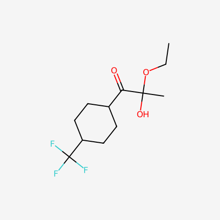 CCOC(C)(O)C(=O)C1CCC(C(F)(F)F)CC1